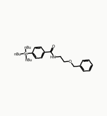 CCC[CH2][Sn]([CH2]CCC)([CH2]CCC)[c]1ccc(C(=O)NCCOCc2ccccc2)cc1